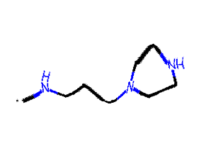 [CH2]NCCCN1CCNCC1